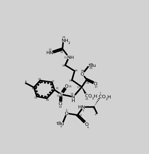 C[C@H](NC(=O)OC(C)(C)C)C(=O)O.Cc1ccc(S(=O)(=O)N[C@@](CCCNC(=N)N)(C(=O)O)C(=O)OC(C)(C)C)cc1